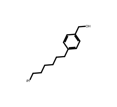 CC(C)CCCCCCc1ccc(CO)cc1